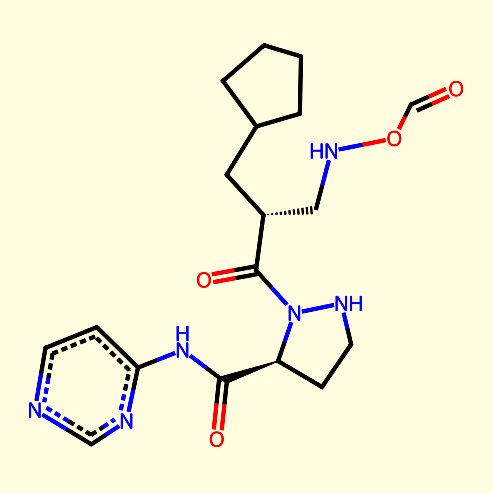 O=CONC[C@@H](CC1CCCC1)C(=O)N1NCC[C@H]1C(=O)Nc1ccncn1